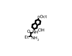 CCCCCCCCc1ccc2cc(NC(=O)C(N)CC)ccc2c1.Cl